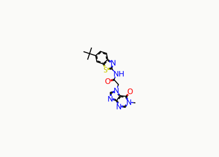 Cn1cnc2ncn(CC(=O)Nc3nc4ccc(C(C)(C)C)cc4s3)c2c1=O